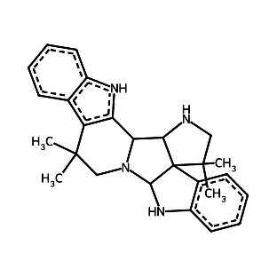 CC1(C)CN2C(c3[nH]c4ccccc4c31)C1NCC(C)(C)C13c1ccccc1NC23